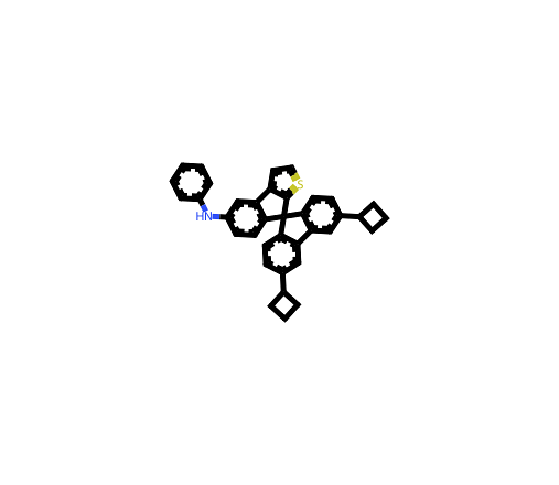 c1ccc(Nc2ccc3c(c2)-c2ccsc2C32c3ccc(C4CCC4)cc3-c3cc(C4CCC4)ccc32)cc1